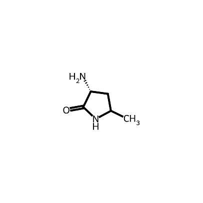 CC1C[C@@H](N)C(=O)N1